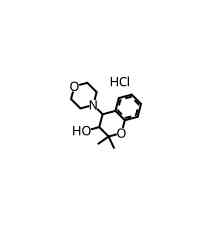 CC1(C)Oc2ccccc2C(N2CCOCC2)C1O.Cl